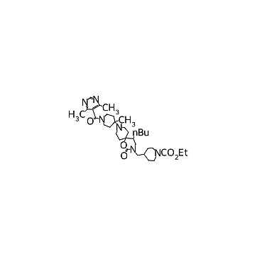 CCCCC1CN(CC2CCN(C(=O)OCC)CC2)C(=O)OC12CCN(C1(C)CCN(C(=O)c3c(C)ncnc3C)CC1)CC2